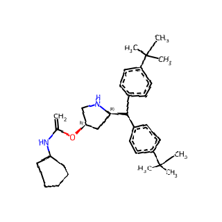 C=C(NC1CCCCC1)O[C@H]1CN[C@@H](C(c2ccc(C(C)(C)C)cc2)c2ccc(C(C)(C)C)cc2)C1